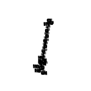 O=C(NCCCOCCOCCOCCOCCOCCCNc1ncnc2c1ncn2[C@@H]1O[C@H](CO)C(O)[C@@H]1O)C(F)(F)F